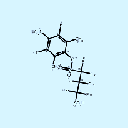 Cc1c(F)c(C(=O)O)c(F)c(C)c1OS(=O)(=O)C(F)(F)C(F)(F)C(F)(F)S(=O)(=O)O